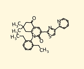 CCc1cccc(CC)c1-n1c2c(cc(-c3nc(-c4ccccn4)cs3)c1=O)C(=O)CC(C)(C)C2